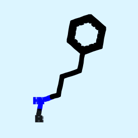 [CH2]CNCCCc1ccccc1